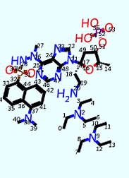 CCN(CC)CC.CCN(CC)CC.C[C@H]1O[C@@](CCN)(n2cnc3c(N(C)NS(=O)(=O)c4cccc5c(N(C)C)cccc45)ncnc32)C[C@@H]1OP(=O)(O)O